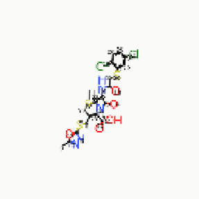 Cc1nnc(SCC2=C(C(=O)O)N3C(=O)C(NC(=O)CSc4cc(Cl)ccc4Cl)[C@@H]3SC2)o1